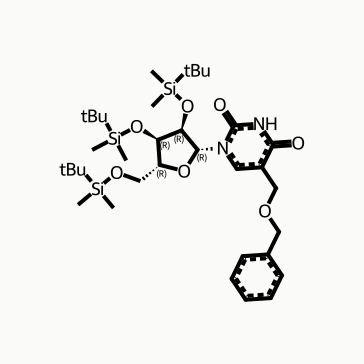 CC(C)(C)[Si](C)(C)OC[C@H]1O[C@@H](n2cc(COCc3ccccc3)c(=O)[nH]c2=O)[C@H](O[Si](C)(C)C(C)(C)C)[C@@H]1O[Si](C)(C)C(C)(C)C